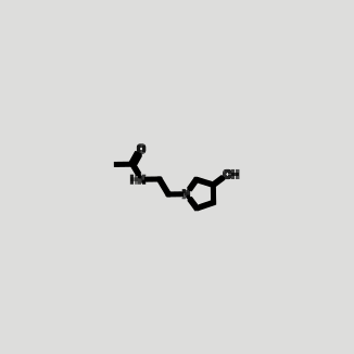 CC(=O)NCCN1CCC(O)C1